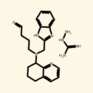 N=C(N)NN.O=CCCCN(Cc1nc2ccccc2[nH]1)C1CCCc2cccnc21